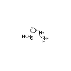 O=C(O)c1cccc(CN2CC3C(C2)C3(F)F)c1